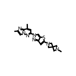 Cc1cn2nc(-n3cc4sc(N5CC6(CN(C)C6)C5)cc4n3)cc(C)c2n1